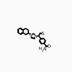 NC(=O)c1ccc(C(C=S)N2C=CN(C3CCc4ccccc4C3)C2)cc1